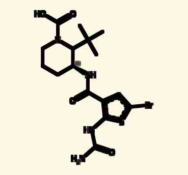 CC(C)(C)C1[C@@H](NC(=O)c2cc(Br)sc2NC(N)=O)CCCN1C(=O)O